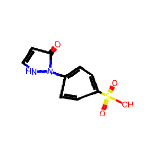 O=c1cc[nH]n1-c1ccc(S(=O)(=O)O)cc1